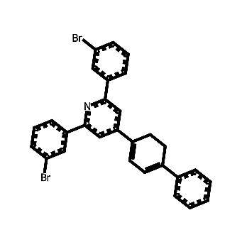 Brc1cccc(-c2cc(C3=CC=C(c4ccccc4)CC3)cc(-c3cccc(Br)c3)n2)c1